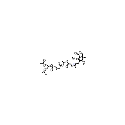 COc1c(C)c2c(c(O)c1C/C=C(\C)CCC(=O)OC(C)OC(=O)CC(C)CC(=O)OC(COC(C)=O)COC(C)=O)C(=O)OC2